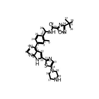 Cc1cc(-c2ncnc3[nH]c(-c4ncc(N5CCNCC5)s4)cc23)ccc1C(C)NC(=O)c1nc(C(C)(C)C)no1